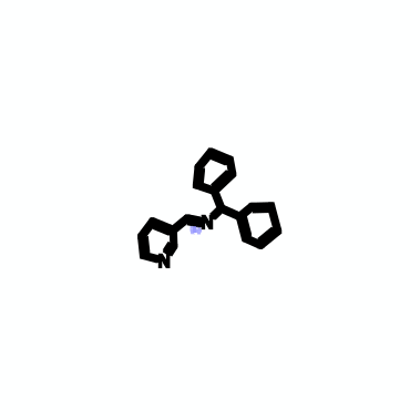 C(=N\C(c1ccccc1)c1ccccc1)/c1cccnc1